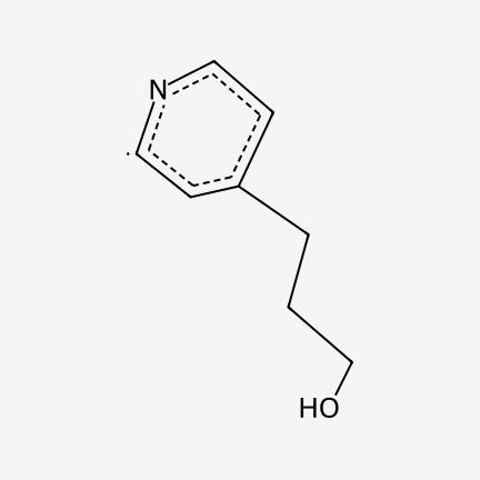 OCCCc1c[c]ncc1